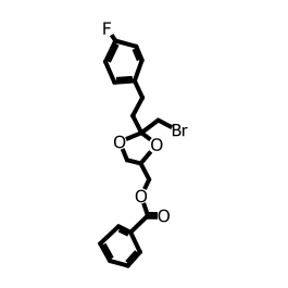 O=C(OCC1COC(CBr)(CCc2ccc(F)cc2)O1)c1ccccc1